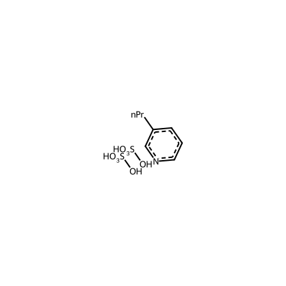 CCCc1cccnc1.O=S(=O)(O)O.O=S(=O)(O)O